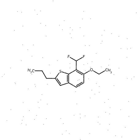 CCCc1cc2ccc(OCC)c(C(F)F)c2s1